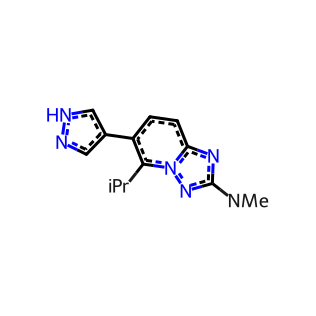 CNc1nc2ccc(-c3cn[nH]c3)c(C(C)C)n2n1